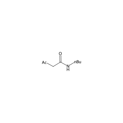 [CH2]CCCNC(=O)CC(C)=O